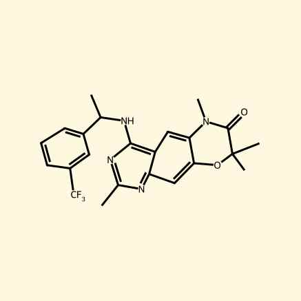 Cc1nc(NC(C)c2cccc(C(F)(F)F)c2)c2cc3c(cc2n1)OC(C)(C)C(=O)N3C